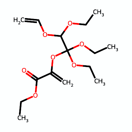 C=COC(OCC)C(OCC)(OCC)OC(=C)C(=O)OCC